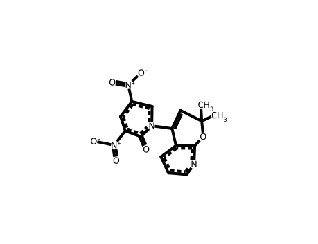 CC1(C)C=C(n2cc([N+](=O)[O-])cc([N+](=O)[O-])c2=O)c2cccnc2O1